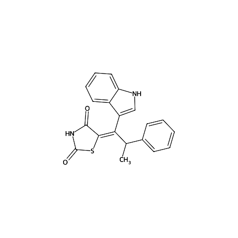 CC(C(=C1SC(=O)NC1=O)c1c[nH]c2ccccc12)c1ccccc1